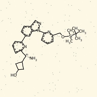 CC(C)(C)[Si](C)(C)OCc1cccc(-n2ncc3ccc(-c4cccc([C@H](N)C5CC(O)C5)n4)cc32)n1